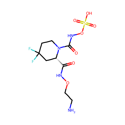 NCCONC(=O)[C@@H]1CC(F)(F)CCN1C(=O)NOS(=O)(=O)O